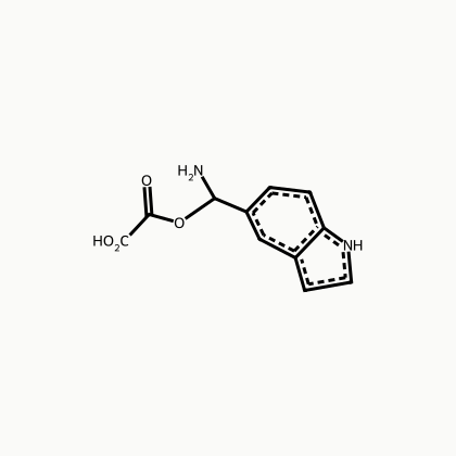 NC(OC(=O)C(=O)O)c1ccc2[nH]ccc2c1